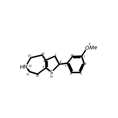 COc1cccc(C2CC3=C(CCNCC3)S2)c1